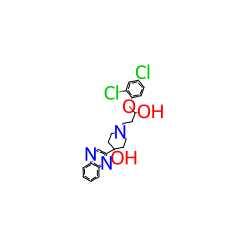 OC(CCN1CCC(O)(c2cnc3ccccc3n2)CC1)Oc1ccc(Cl)cc1Cl